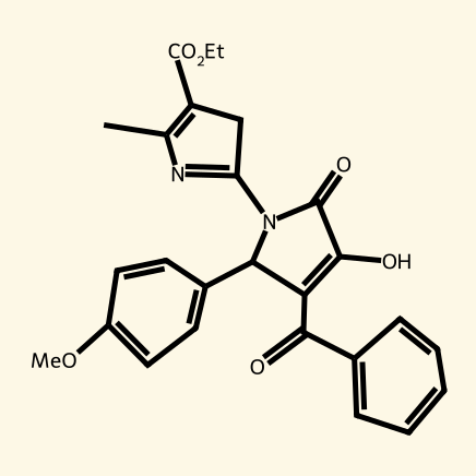 CCOC(=O)C1=C(C)N=C(N2C(=O)C(O)=C(C(=O)c3ccccc3)C2c2ccc(OC)cc2)C1